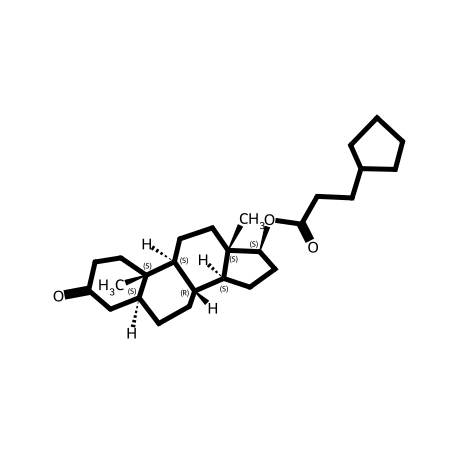 C[C@]12CCC(=O)C[C@@H]1CC[C@@H]1[C@@H]2CC[C@]2(C)[C@@H](OC(=O)CCC3CCCC3)CC[C@@H]12